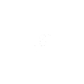 O=C(O)n1ccc2c(Br)c(OC(F)(F)F)ccc21